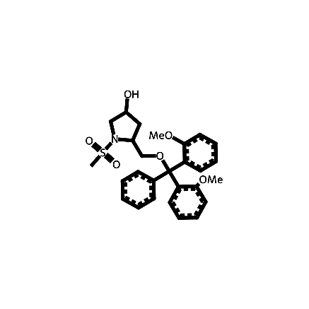 COc1ccccc1C(OCC1CC(O)CN1S(C)(=O)=O)(c1ccccc1)c1ccccc1OC